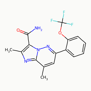 Cc1nc2c(C)cc(-c3ccccc3OC(F)(F)F)nn2c1C(N)=O